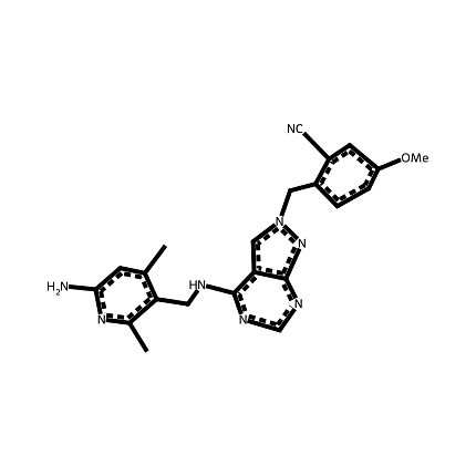 COc1ccc(Cn2cc3c(NCc4c(C)cc(N)nc4C)ncnc3n2)c(C#N)c1